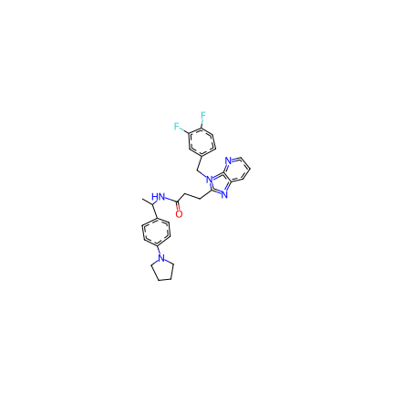 CC(NC(=O)CCc1nc2cccnc2n1Cc1ccc(F)c(F)c1)c1ccc(N2CCCC2)cc1